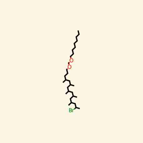 CCCCCCCCCOCOCCCC(C)CC(C)CC(C)CC(C)CC(C)CC(C)Br